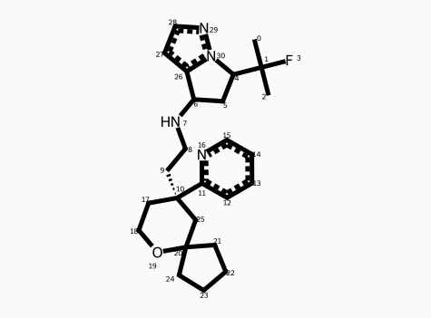 CC(C)(F)C1CC(NCC[C@@]2(c3ccccn3)CCOC3(CCCC3)C2)c2ccnn21